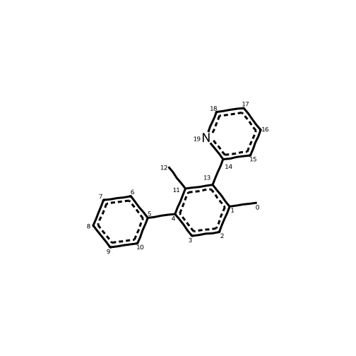 Cc1ccc(-c2ccccc2)c(C)c1-c1ccccn1